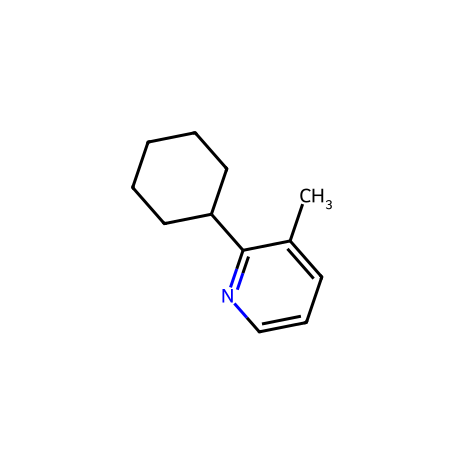 Cc1cccnc1C1CCCCC1